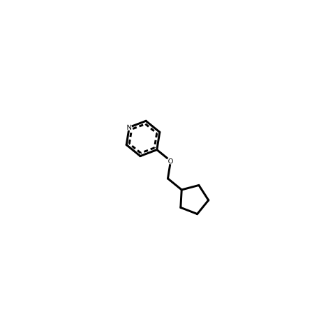 c1cc(OCC2CCCC2)ccn1